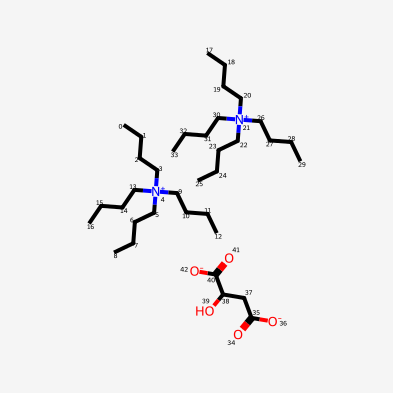 CCCC[N+](CCCC)(CCCC)CCCC.CCCC[N+](CCCC)(CCCC)CCCC.O=C([O-])CC(O)C(=O)[O-]